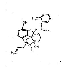 C=CCN1CC[C@]23c4c5ccc(O)c4O[C@H]2[C@H](N(Oc2ccccc2C)C(C)=O)CC[C@@]3(O)[C@H]1C5